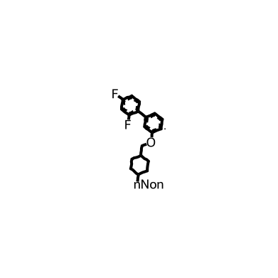 CCCCCCCCCC1CCC(COc2[c]ccc(-c3ccc(F)cc3F)c2)CC1